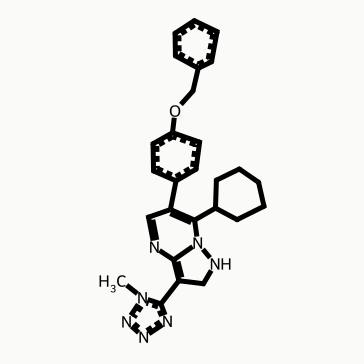 Cn1nnnc1C1=C2N=CC(c3ccc(OCc4ccccc4)cc3)=C(C3CCCCC3)N2NC1